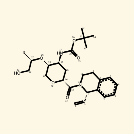 C=C[C@H]1c2ccccc2CCN1C(=O)[C@H]1C[C@H](NC(=O)OC(C)(C)C)[C@@H](O[C@@H](C)CO)CO1